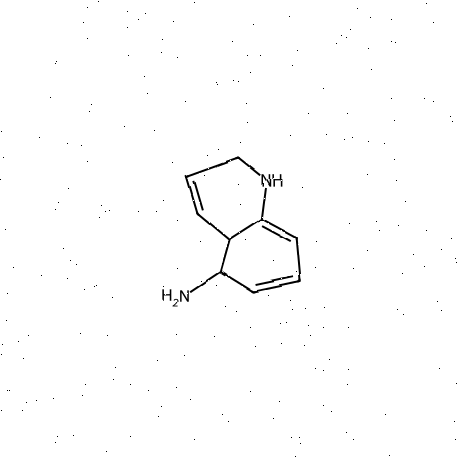 NC1C=CC=C2NCC=CC21